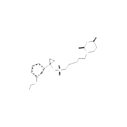 CC(C)(C)COc1cccc(C2(NS(=O)(=O)CCCCCN3CCC(=O)NC3=O)CC2)c1